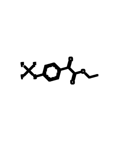 CCOC(=O)C(=O)c1ccc(SC(F)(F)F)cc1